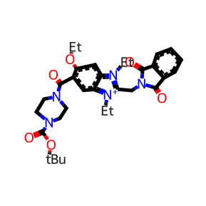 CCOc1cc2c(cc1C(=O)N1CCN(C(=O)OC(C)(C)C)CC1)[n+](CC)c(CN1C(=O)c3ccccc3C1=O)n2CC